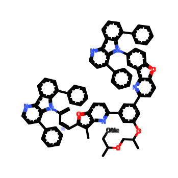 C=C(/C=C\c1oc2ccc(-c3cc(OC(C)COC(C)COC)cc(-c4ccc5oc6ccc(-n7c8c(-c9ccccc9)cccc8c8nccc(-c9ccccc9)c87)cc6c5n4)c3)nc2c1C)n1c2c(-c3ccccc3)cccc2c2nccc(-c3ccccc3)c21